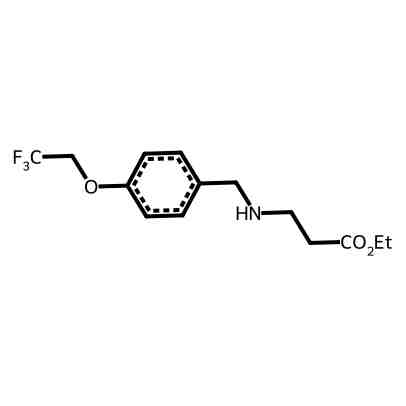 CCOC(=O)CCNCc1ccc(OCC(F)(F)F)cc1